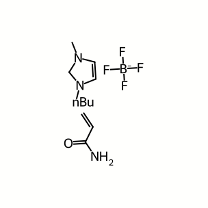 C=CC(N)=O.CCCCN1C=CN(C)C1.F[B-](F)(F)F